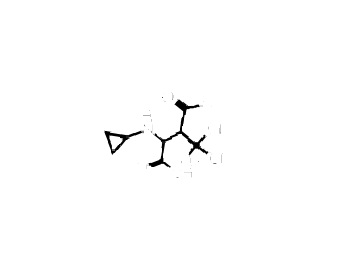 CC(C)(C)C(C(=O)O)C(NC1CC1)C(=O)O